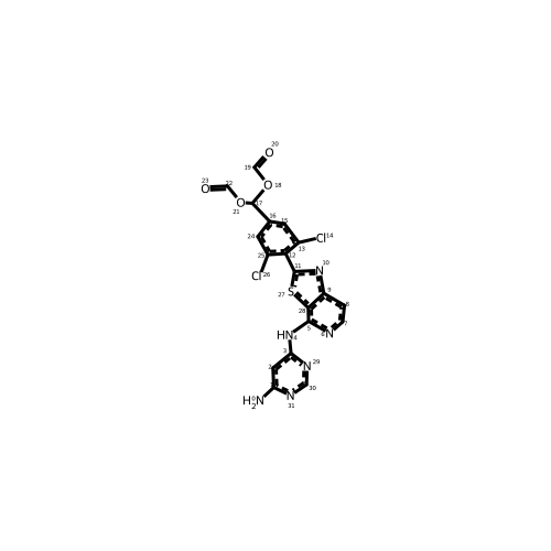 Nc1cc(Nc2nccc3nc(-c4c(Cl)cc(C(OC=O)OC=O)cc4Cl)sc23)ncn1